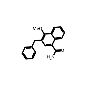 COc1c(Cc2ccccc2)cc(C(N)=O)c2ccccc12